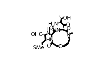 CSCC[C@H](C=O)N[C@@H]1NC(=O)CCC=CCN(C)C(=O)[C@H](C(=O)[C@@H](N)[C@H](C)O)NC1=O